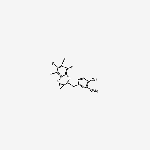 COc1cc(CN(Sc2c(F)c(F)c(F)c(F)c2F)C2CC2)ccc1O